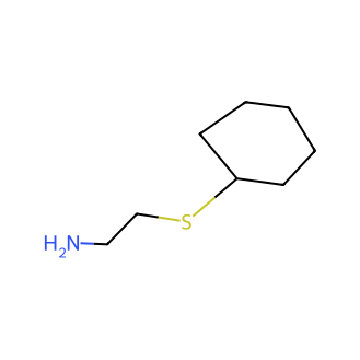 NCCSC1CCCCC1